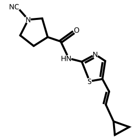 N#CN1CCC(C(=O)Nc2ncc(C=CC3CC3)s2)C1